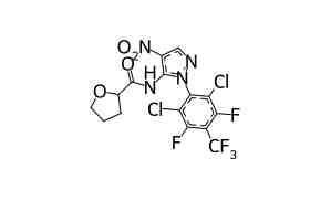 O=C(Nc1c([N+](=O)[O-])cnn1-c1c(Cl)c(F)c(C(F)(F)F)c(F)c1Cl)C1CCCO1